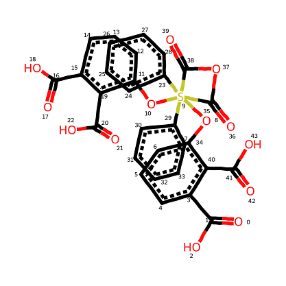 O=C(O)c1cccc(OS2(Oc3cccc(C(=O)O)c3C(=O)O)(c3ccccc3)(c3ccccc3)C(=O)OC2=O)c1C(=O)O